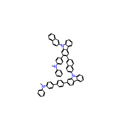 CN(c1ccccc1)c1ccc(-c2ccc(-c3ccc4c5ccccc5n(-c5ccc6cc(-c7cc8c9ccccc9n(-c9ccc%10ccccc%10c9)c8cc7-c7ccc(N(C)c8ccccc8)cc7)ccc6c5)c4c3)cc2)cc1